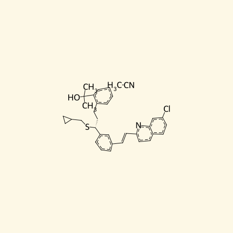 CC#N.CC(C)(O)c1ccccc1CC[C@@H](SCC1CC1)c1cccc(/C=C/c2ccc3ccc(Cl)cc3n2)c1